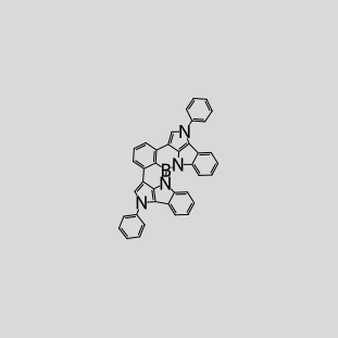 c1ccc(-n2cc3c4c2c2ccccc2n4B2c4c-3cccc4-c3cn(-c4ccccc4)c4c5ccccc5n2c34)cc1